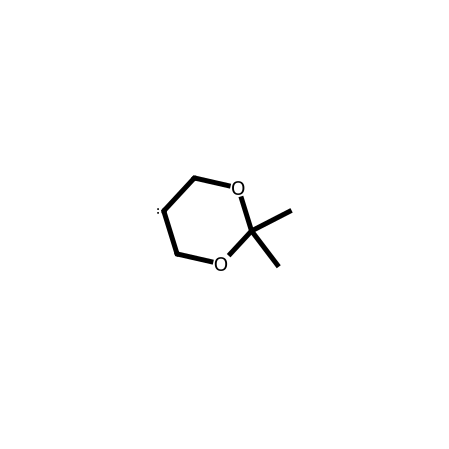 CC1(C)OC[C]CO1